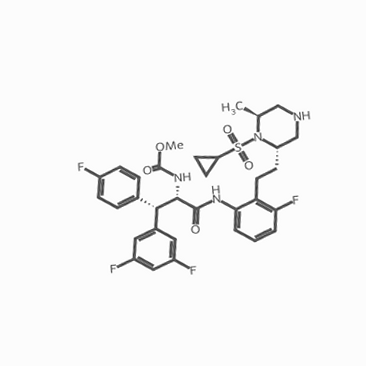 COC(=O)N[C@H](C(=O)Nc1cccc(F)c1CC[C@H]1CNC[C@H](C)N1S(=O)(=O)C1CC1)[C@@H](c1ccc(F)cc1)c1cc(F)cc(F)c1